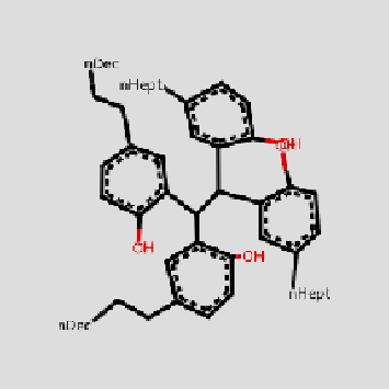 CCCCCCCCCCCCc1ccc(O)c(C(c2cc(CCCCCCCCCCCC)ccc2O)C(c2cc(CCCCCCC)ccc2O)c2cc(CCCCCCC)ccc2O)c1